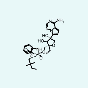 CCC(C)(C)COC(=O)[C@H](C)N[P@](=O)(OC[C@@]1(CF)OC[C@](O)(c2ccc3c(N)ncnn23)[C@@H]1O)Oc1ccccc1